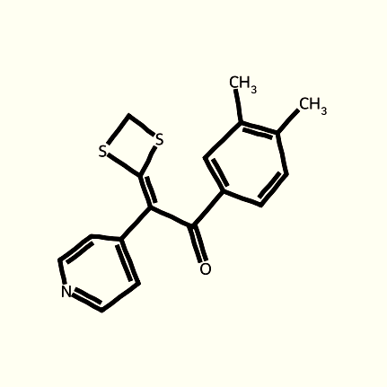 Cc1ccc(C(=O)C(=C2SCS2)c2ccncc2)cc1C